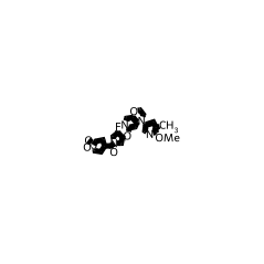 COc1ncc(N2CCOc3cnc(O[C@@H]4CN(C(=O)C5CCS(=O)(=O)CC5)CC4F)cc32)cc1C